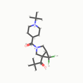 CC(C)(C)C(=O)C12CN(C(=O)C3CCN(C(C)(C)C)CC3)CC1C2(F)F